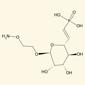 NOCCO[C@H]1O[C@H](/C=C/P(=O)(O)O)[C@@H](O)[C@H](O)[C@@H]1O